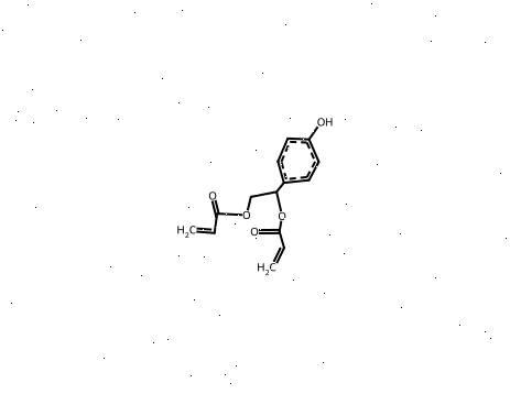 C=CC(=O)OCC(OC(=O)C=C)c1ccc(O)cc1